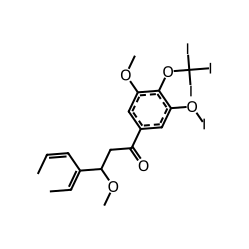 C/C=C\C(=C/C)C(CC(=O)c1cc(OC)c(OC(I)(I)I)c(OI)c1)OC